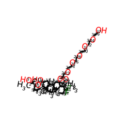 CC(C)(O)[C@@H]1CC[C@@](C)([C@H]2[C@@H](O)C[C@@]3(C)[C@@H]4C[C@@]5(OC(=O)COCCOCCOCCOCCOCCO)C[C@@]56C(C)(C)C(F)(F)CC[C@@]65C[C@@]45CC[C@]23C)O1